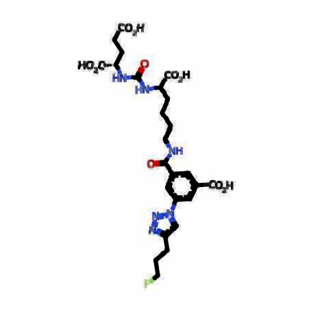 O=C(O)CC[C@H](NC(=O)NC(CCCCNC(=O)c1cc(C(=O)O)cc(-n2cc(CCCF)nn2)c1)C(=O)O)C(=O)O